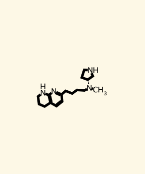 CN(CCCCc1ccc2c(n1)NCCC2)[C@@H]1CCNC1